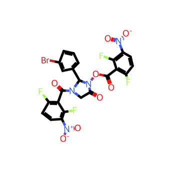 O=C(ON1C(=O)CN(C(=O)c2c(F)ccc([N+](=O)[O-])c2F)C1c1cccc(Br)c1)c1c(F)ccc([N+](=O)[O-])c1F